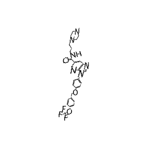 CN1CCN(CCCNC(=O)c2cnc3c(c2)ncn3-c2ccc(OCc3ccc(OC(F)(F)F)cc3)cc2)CC1